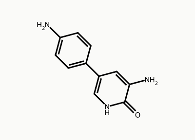 Nc1ccc(-c2c[nH]c(=O)c(N)c2)cc1